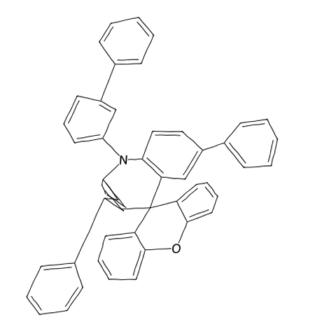 c1ccc(-c2cccc(N3c4ccc(-c5ccccc5)cc4C4(c5ccccc5Oc5ccccc54)c4cc(-c5ccccc5)ccc43)c2)cc1